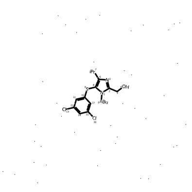 CCCCn1c(CO)nc(C(C)C)c1Sc1cc(Cl)cc(Cl)c1